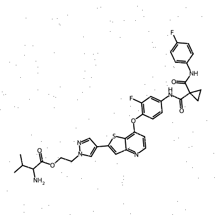 CC(C)C(N)C(=O)OCCn1cc(-c2cc3nccc(Oc4ccc(NC(=O)C5(C(=O)Nc6ccc(F)cc6)CC5)cc4F)c3s2)cn1